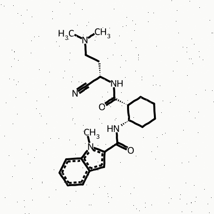 CN(C)CC[C@@H](C#N)NC(=O)[C@@H]1CCCC[C@@H]1NC(=O)c1cc2ccccc2n1C